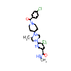 CNC(=O)c1cnc(N2CCN(C3CCN(C(=O)c4ccc(Cl)cc4)CC3)[C@@H](C)C2)c(Cl)c1